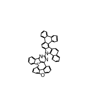 c1ccc2c(c1)ccc1c3c4c5ccccc5c5ccccc5c4ccc3n(-c3nc(-c4cccc5oc6ccccc6c45)c4sc5ccccc5c4n3)c21